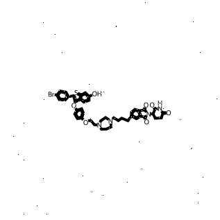 O=C1CCC(N2C(=O)c3ccc(CCCCN4CCCN(CCOc5ccc(Oc6c(-c7ccc(Br)cc7)sc7cc(O)ccc67)cc5)CC4)cc3C2=O)C(=O)N1